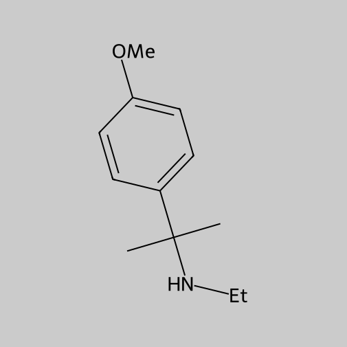 CCNC(C)(C)c1ccc(OC)cc1